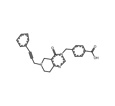 O=C(O)c1ccc(Cn2cnc3c(c2=O)CN(CC#Cc2ccccc2)CC3)cc1